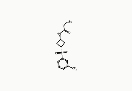 CC(C)(C)OC(=O)N[C@H]1C[C@H](S(=O)(=O)c2cccc(C(F)(F)F)c2)C1